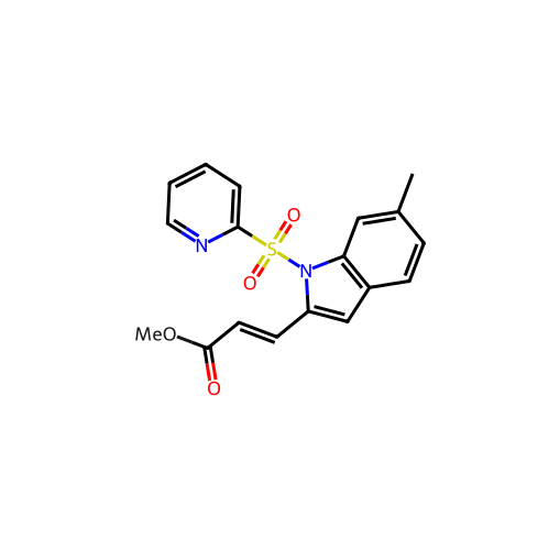 COC(=O)C=Cc1cc2ccc(C)cc2n1S(=O)(=O)c1ccccn1